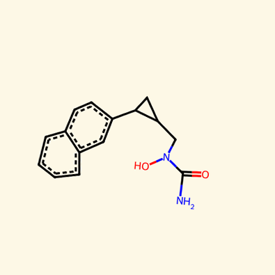 NC(=O)N(O)CC1CC1c1ccc2ccccc2c1